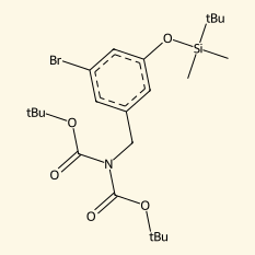 CC(C)(C)OC(=O)N(Cc1cc(Br)cc(O[Si](C)(C)C(C)(C)C)c1)C(=O)OC(C)(C)C